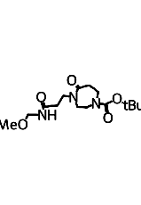 COCNC(=O)CCN1CCN(C(=O)OC(C)(C)C)CCC1=O